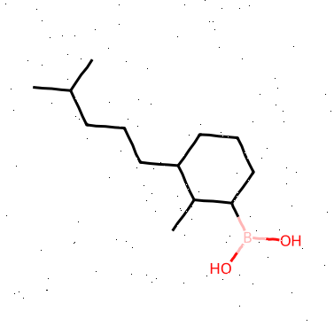 CC(C)CCCC1CCCC(B(O)O)C1C